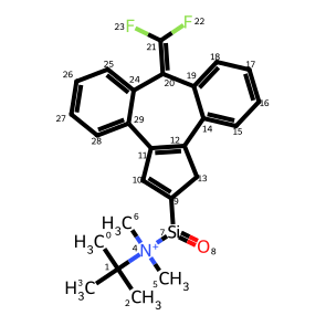 CC(C)(C)[N+](C)(C)[Si](=O)C1=CC2=C(C1)c1ccccc1C(=C(F)F)c1ccccc12